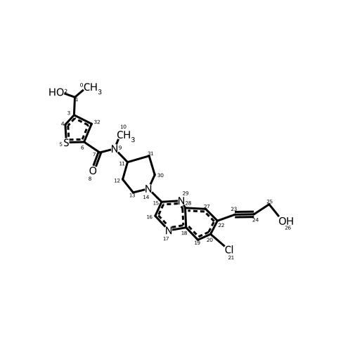 CC(O)c1csc(C(=O)N(C)C2CCN(c3cnc4cc(Cl)c(C#CCO)cc4n3)CC2)c1